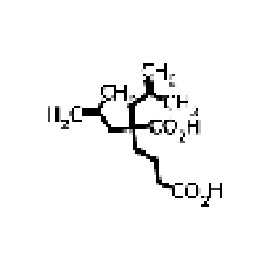 C=C(C)CC(CCCC(=O)O)(CC(=C)C)C(=O)O